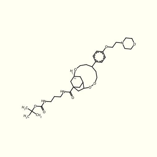 CC(C)(C)OC(=O)NCCCNC(=O)C12CC3C[C@@H](C1)OCCC(c1ccc(OCCN4CCOCC4)cc1)CCOOC3C2